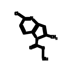 Cc1cc2nc(Cl)ccc2n1C(=O)OC(C)(C)C